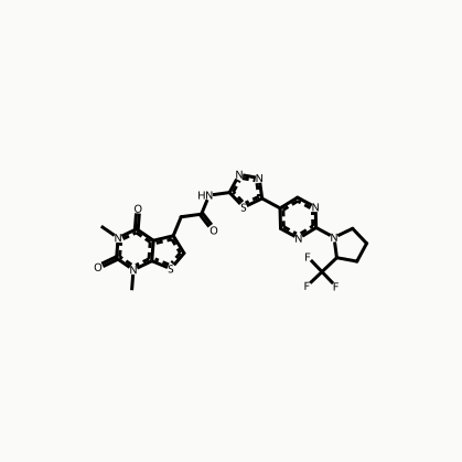 Cn1c(=O)c2c(CC(=O)Nc3nnc(-c4cnc(N5CCCC5C(F)(F)F)nc4)s3)csc2n(C)c1=O